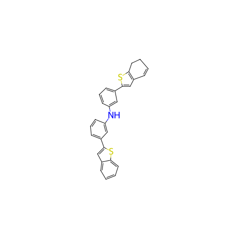 C1=Cc2cc(-c3cccc(Nc4cccc(-c5cc6ccccc6s5)c4)c3)sc2CC1